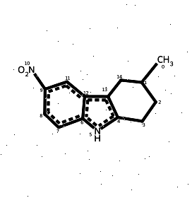 CC1CCc2[nH]c3ccc([N+](=O)[O-])cc3c2C1